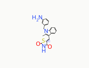 Cc1c(/C=C2\SC(=O)NC2=O)c2ccccc2n1Cc1cccc(N)c1